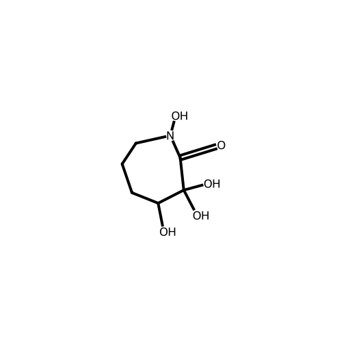 O=C1N(O)CCCC(O)C1(O)O